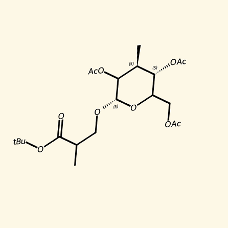 CC(=O)OCC1O[C@H](OCC(C)C(=O)OC(C)(C)C)C(OC(C)=O)[C@@H](C)[C@@H]1OC(C)=O